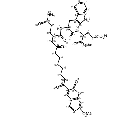 CNC(=O)[C@H](CCC(=O)O)NC(=O)[C@H](Cc1c[nH]c2ccccc12)NC(=O)[C@H](CCC(N)=O)NC(=O)CCCCCNC(=O)c1cc2ccc(OC)cc2oc1=O